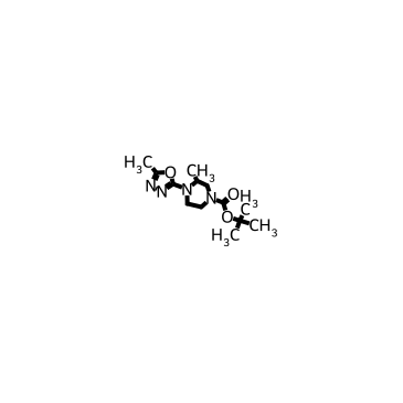 Cc1nnc(N2CCN(C(=O)OC(C)(C)C)CC2C)o1